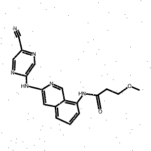 COCCC(=O)Nc1cccc2cc(Nc3cnc(C#N)cn3)ncc12